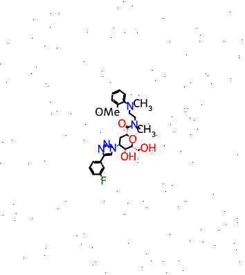 COc1ccccc1N(C)CCN(C)C(=O)[C@H]1C[C@@H](n2cc(-c3cccc(F)c3)nn2)[C@@H](O)[C@@H](CO)O1